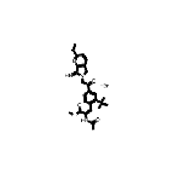 Br.CCc1ccc2c(n1)C(=N)N(CC(=O)c1ccc(/C=C(/NC(C)=O)C(=O)OC)c(C(C)(C)C)c1)C2